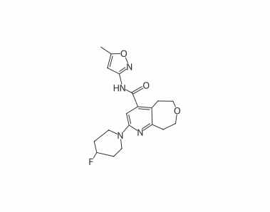 Cc1cc(NC(=O)c2cc(N3CCC(F)CC3)nc3c2CCOCC3)no1